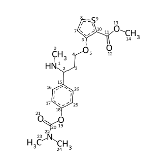 CNC(CCOc1ccsc1C(=O)OC)c1ccc(OC(=O)N(C)C)cc1